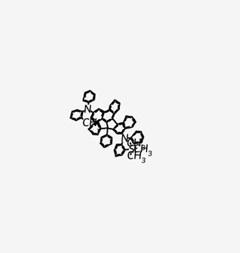 Cc1ccccc1N(c1ccccc1)c1ccc2c3c(c4ccccc4c2c1)-c1c(cc(N(c2ccccc2)c2ccccc2[Si](C)(C)C)c2ccccc12)C3(c1ccccc1)c1ccccc1